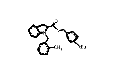 Cc1ccccc1Cn1c(C(=O)NCc2ccc(C(C)(C)C)cc2)cc2ccccc21